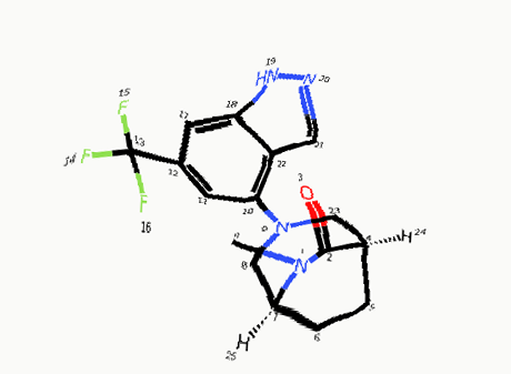 CN1C(=O)[C@@H]2CC[C@H]1CN(c1cc(C(F)(F)F)cc3[nH]ncc13)C2